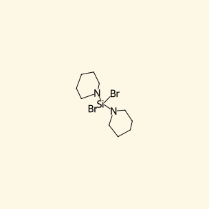 Br[Si](Br)(N1CCCCC1)N1CCCCC1